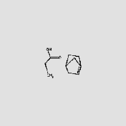 C1=C2CCC(C1)C2.CCC(=O)O